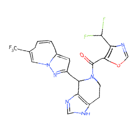 O=C(c1ocnc1C(F)F)N1CCc2[nH]cnc2C1c1cc2ccc(C(F)(F)F)cn2n1